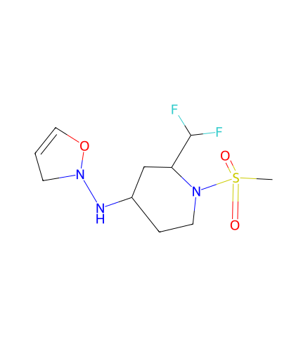 CS(=O)(=O)N1CCC(NN2CC=CO2)CC1C(F)F